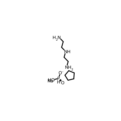 C1CCCC1.NCCNCCN.O=[PH]([O-])O.[Na+]